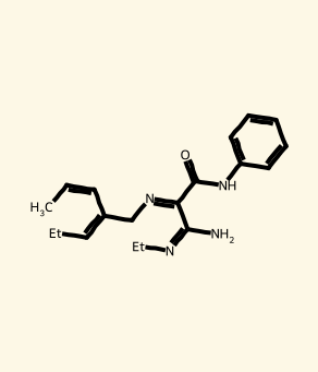 C/C=C\C(=C/CC)C/N=C(C(=O)Nc1ccccc1)\C(N)=N/CC